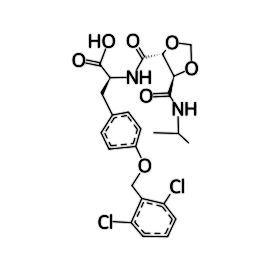 CC(C)NC(=O)[C@@H]1OCO[C@H]1C(=O)N[C@@H](Cc1ccc(OCc2c(Cl)cccc2Cl)cc1)C(=O)O